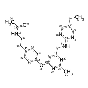 CCc1cnc(NCc2cc(Oc3ccc(CCNC(C)=O)cc3)nc(C)n2)nc1